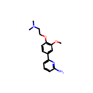 COc1cc(-c2cccc(N)n2)ccc1OCCN(C)C